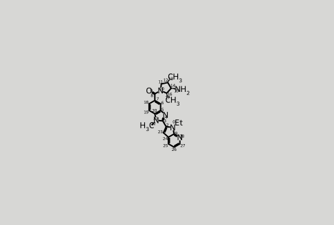 CCn1c(-c2nc3cc(C(=O)N4C[C@@H](C)[C@@H](N)[C@H]4C)ccc3n2C)cc2cccnc21